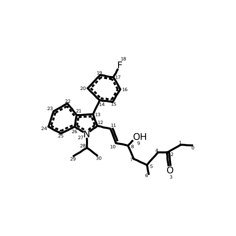 CCC(=O)CC(C)CC(O)/C=C/c1c(-c2ccc(F)cc2)c2ccccc2n1C(C)C